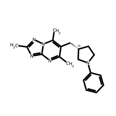 Cc1nc2nc(C)c(C[C@@H]3CCN(c4ccccc4)C3)c(C)n2n1